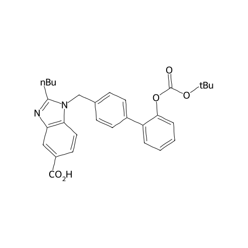 CCCCc1nc2cc(C(=O)O)ccc2n1Cc1ccc(-c2ccccc2OC(=O)OC(C)(C)C)cc1